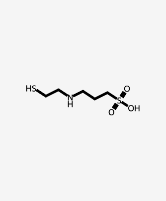 O=S(=O)(O)CCCNCCS